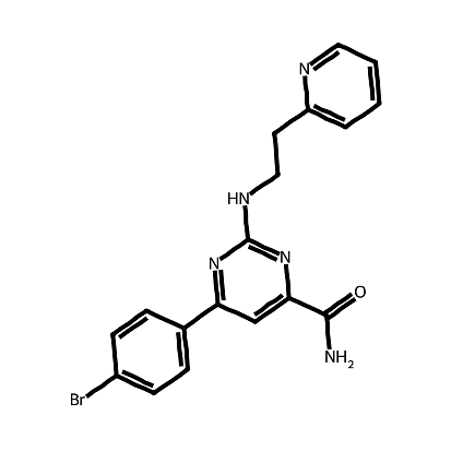 NC(=O)c1cc(-c2ccc(Br)cc2)nc(NCCc2ccccn2)n1